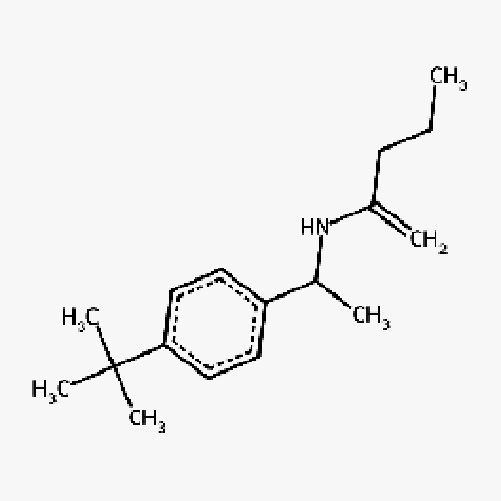 C=C(CCC)NC(C)c1ccc(C(C)(C)C)cc1